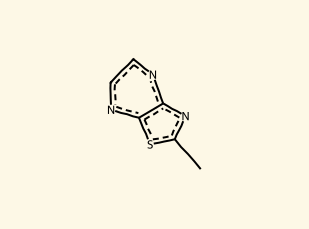 Cc1nc2nccnc2s1